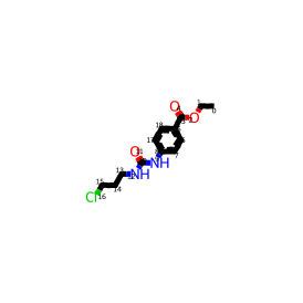 CCOC(=O)c1ccc(NC(=O)NCCCCl)cc1